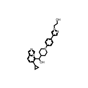 OCCn1cc(-c2ccc(N3CCC(C(O)c4c(C5CC5)ccc5cncn45)CC3)cc2)cn1